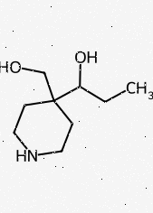 CCC(O)C1(CO)CCNCC1